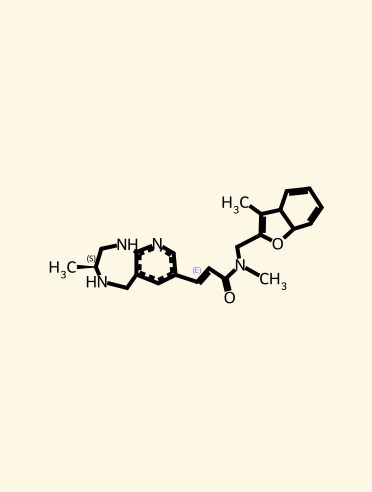 CC1=C(CN(C)C(=O)/C=C/c2cnc3c(c2)CN[C@@H](C)CN3)OC2C=CC=CC12